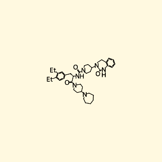 CCc1ccc(C[C@@H](NC(=O)N2CCC(N3CCc4ccccc4NC3=O)CC2)C(=O)N2CCC(N3CCCCCC3)CC2)cc1CC